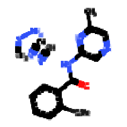 C#N.C#N.C=NN.COc1ccccc1C(=O)Nc1cncc(C)n1